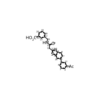 CC(=O)c1cccc(-c2ccc3nc(CC(=O)NCc4cccc(C(=O)O)c4)sc3c2)c1